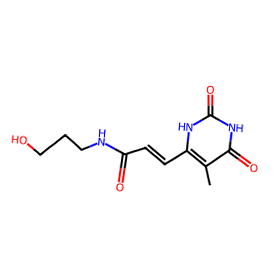 Cc1c(C=CC(=O)NCCCO)[nH]c(=O)[nH]c1=O